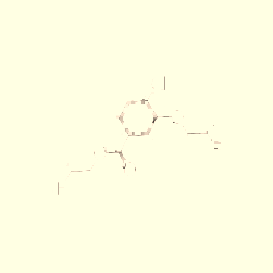 O=C(OCCF)c1ccc(Cl)c(OCCF)c1